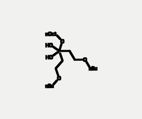 CCCCCCCCOP(O)(O)(CCOCCCC)CCOCCCC